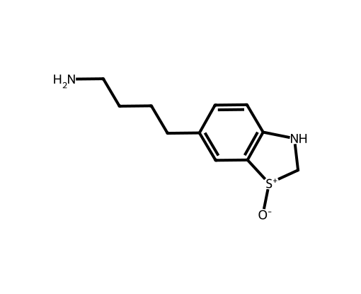 NCCCCc1ccc2c(c1)[S+]([O-])CN2